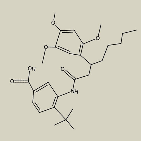 CCCCCC(CC(=O)Nc1cc(C(=O)O)ccc1C(C)(C)C)c1cc(OC)c(OC)cc1OC